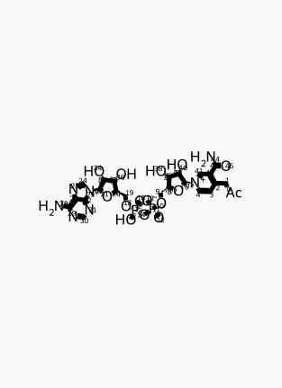 CC(=O)Cc1cc[n+]([C@@H]2O[C@H](COP(=O)([O-])OP(=O)(O)OC[C@H]3O[C@@H](n4cnc5c(N)ncnc54)[C@H](O)[C@@H]3O)[C@@H](O)[C@H]2O)cc1C(N)=O